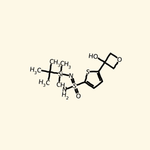 CC(C)(C)[Si](C)(C)N=S(N)(=O)c1ccc(C2(O)COC2)s1